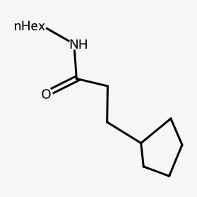 CCCCCCNC(=O)CCC1CCCC1